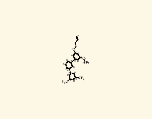 C=CCCOc1cc(OCCC)cc(-c2cccc(-c3cc(C(F)(F)F)cc(C(F)(F)F)c3)c2)c1